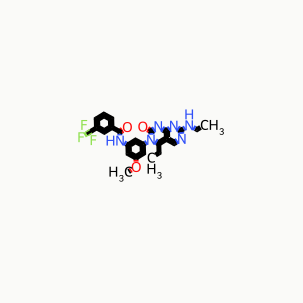 CCNc1ncc2c(CC)n(-c3cc(NC(=O)c4cccc(C(F)(F)F)c4)cc(OC)c3)c(=O)nc2n1